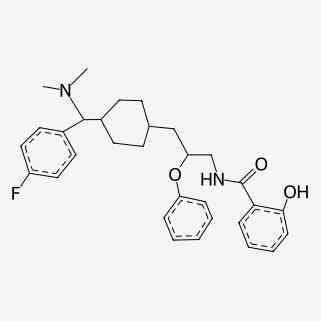 CN(C)C(c1ccc(F)cc1)C1CCC(CC(CNC(=O)c2ccccc2O)Oc2ccccc2)CC1